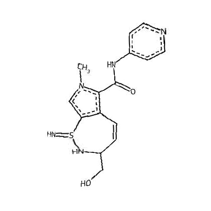 Cn1cc2c(c1C(=O)Nc1ccncc1)C=CC(CO)NS2=N